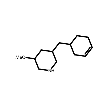 COC1[C]C(CC2CC=CCC2)CNC1